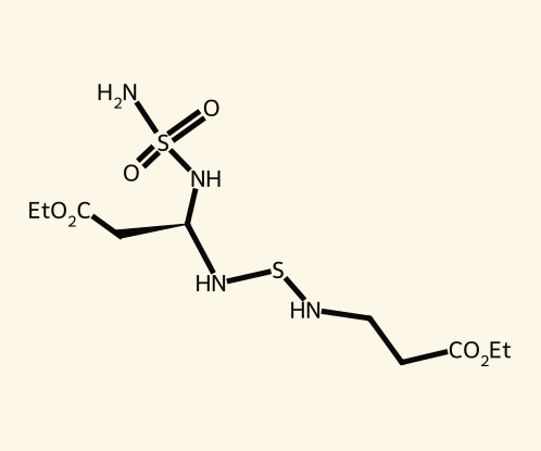 CCOC(=O)CCNSN[C@@H](CC(=O)OCC)NS(N)(=O)=O